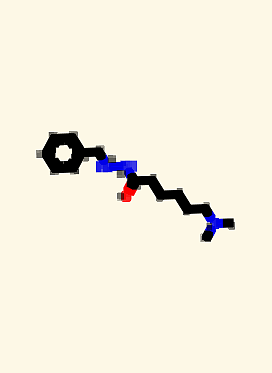 CN(C)CCCCCC(=O)NNCc1ccccc1